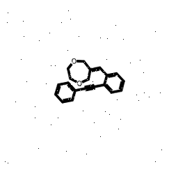 C(#Cc1ccccc1C=C1COCCOC1)c1ccccc1